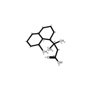 CC1CCCC2CCCC(C(C)(C)CC(=O)O)C12